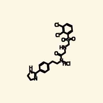 CN(CCc1ccc(C2=NCCN2)cc1)C(=O)CNCS(=O)(=O)c1cccc(Cl)c1Cl.Cl